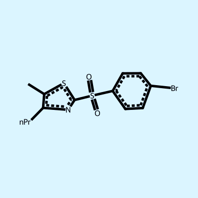 CCCc1nc(S(=O)(=O)c2ccc(Br)cc2)sc1C